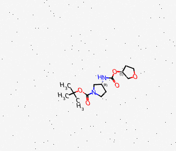 CC(C)(C)OC(=O)N1CC[C@@H](NC(=O)O[C@H]2CCOC2)C1